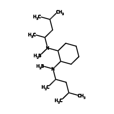 BN(C(C)CC(C)C)C1CCCCC1N(B)C(C)CC(C)C